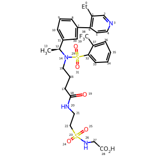 CCc1cnccc1-c1cccc([C@H](C)N(CCCC(=O)NCCS(=O)(=O)NCC(=O)O)S(=O)(=O)c2ccccc2C(F)(F)F)c1